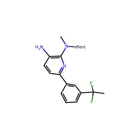 CCCCCN(C)c1nc(-c2cccc(C(C)(F)F)c2)ccc1N